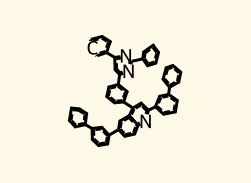 c1ccc(-c2cccc(-c3ccc4nc(-c5cccc(-c6ccccc6)c5)cc(-c5cccc(-c6cc(-c7ccccc7)nc(-c7ccccc7)n6)c5)c4c3)c2)cc1